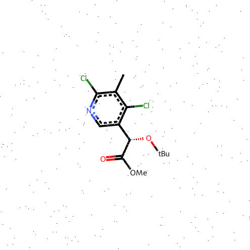 COC(=O)[C@@H](OC(C)(C)C)c1cnc(Cl)c(C)c1Cl